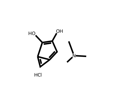 CN(C)C.Cl.Oc1cc2cc-2c1O